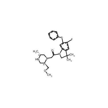 COC[C@H]1CN[C@H](C)CN1CC(=O)N1CC(C)(C)c2cc(F)c(Sc3ccccc3)cc21